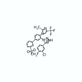 Cc1nc(C(F)(F)F)cn1-c1ccc(-c2cccc(S(C)(=O)=O)c2)cc1N1NNC=C1c1ccc(F)c(Cl)c1